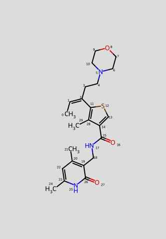 C/C=C(/CCN1CCOCC1)c1scc(C(=O)NCc2c(C)cc(C)[nH]c2=O)c1C